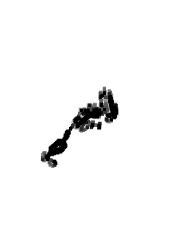 COC(=O)c1ccc(C#Cn2cnc3nc(NC(=O)C(C)(C)C)cc-3c2O)cc1